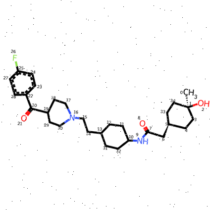 C[C@]1(O)CC[C@@H](CC(=O)NC2CCC(CCN3CCC(C(=O)c4ccc(F)cc4)CC3)CC2)CC1